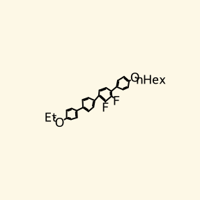 CCCCCCOc1ccc(-c2ccc(-c3ccc(-c4ccc(OCC)cc4)cc3)c(F)c2F)cc1